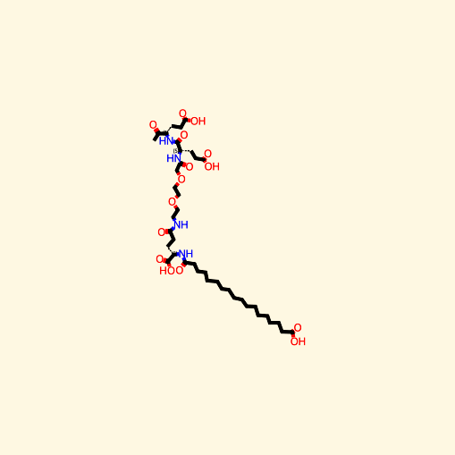 CC(=O)[C@H](CCC(=O)O)NC(=O)[C@H](CCC(=O)O)NC(=O)COCCOCCNC(=O)CC[C@H](NC(=O)CCCCCCCCCCCCCCCCC(=O)O)C(=O)O